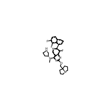 CN(c1nc(OCC23CCCN2CCC3)nc2c(F)c(-c3cccc4ccc(F)c(F)c34)ncc12)[C@@H]1CCNC1